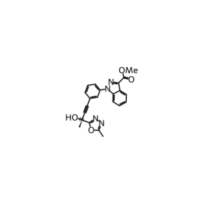 COC(=O)c1nn(-c2cccc(C#C[C@@](C)(O)c3nnc(C)o3)c2)c2ccccc12